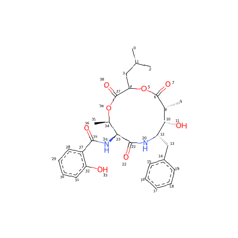 CC(C)CC1OC(=O)[C@H](C)[C@H](O)[C@H](Cc2ccccc2)NC(=O)[C@@H](NC(=O)c2ccccc2O)[C@@H](C)OC1=O